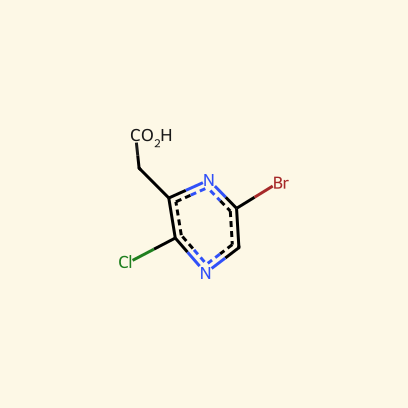 O=C(O)Cc1nc(Br)cnc1Cl